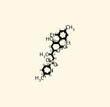 CCc1cc(C)cc(CC)c1C1=C(O)CC(C(C)CS(=O)(=O)c2ccc(C)cn2)OC1=O